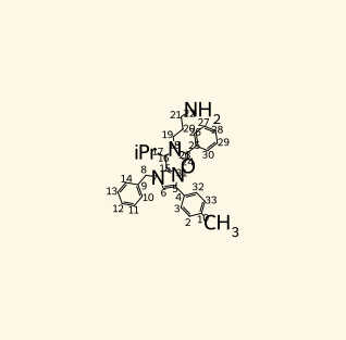 Cc1ccc(-c2cn(Cc3ccccc3)c([C@@H](C(C)C)N(CCCN)C(=O)c3ccccc3)n2)cc1